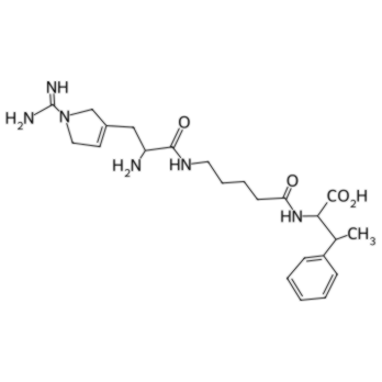 CC(c1ccccc1)C(NC(=O)CCCCNC(=O)C(N)CC1=CCN(C(=N)N)C1)C(=O)O